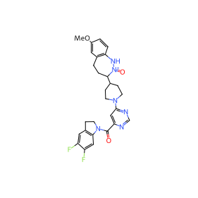 COc1ccc2c(c1)CCC(C1CCN(c3cc(C(=O)N4CCc5cc(F)c(F)cc54)ncn3)CC1)[N+](=O)N2